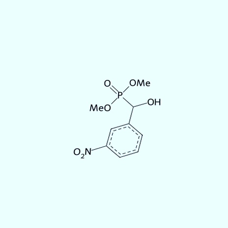 COP(=O)(OC)C(O)c1cccc([N+](=O)[O-])c1